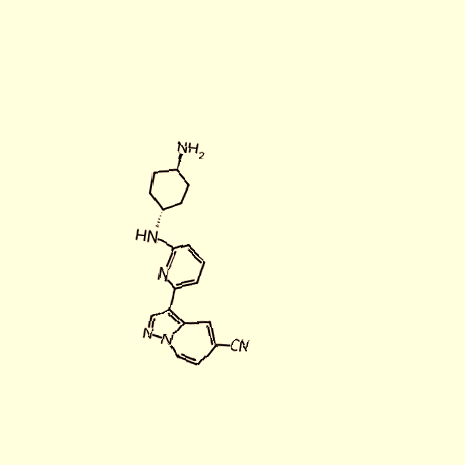 N#Cc1ccn2ncc(-c3cccc(N[C@H]4CC[C@H](N)CC4)n3)c2c1